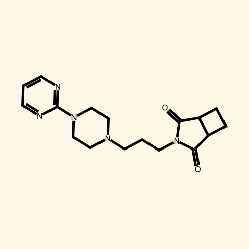 O=C1C2CCC2C(=O)N1CCCN1CCN(c2ncccn2)CC1